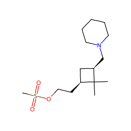 CC1(C)[C@@H](CCOS(C)(=O)=O)C[C@H]1CN1CCCCC1